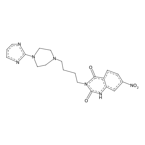 O=c1[nH]c2cc([N+](=O)[O-])ccc2c(=O)n1CCCCN1CCN(c2ncccn2)CC1